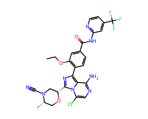 CCOc1cc(C(=O)Nc2cc(C(F)(F)F)ccn2)ccc1-c1nc([C@H]2CN(C#N)[C@@H](C)CO2)n2c(Cl)cnc(N)c12